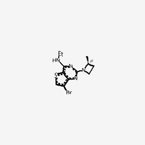 CCNc1nc(N2CC[C@@H]2C)nc2c(Br)csc12